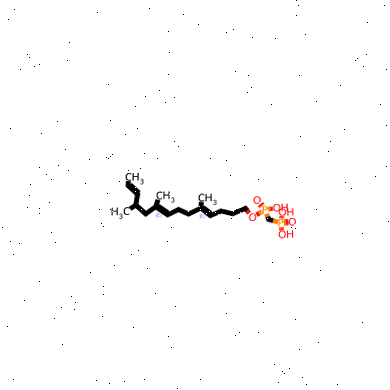 CC=CC(C)C/C(C)=C/CC/C(C)=C/CCCOP(=O)(O)CP(=O)(O)O